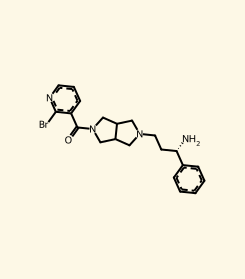 N[C@@H](CCN1CC2CN(C(=O)c3cccnc3Br)CC2C1)c1ccccc1